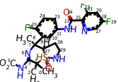 CC1(C)C(NC(=O)O)=N[C@](C)(c2cc(NC(=O)c3ncc(F)cc3F)ccc2F)[C@@H]2CCN[SH]21=O